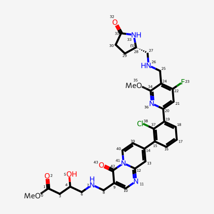 COC(=O)CC(O)CNCc1cnc2cc(-c3cccc(-c4cc(F)c(CNC[C@@H]5CCC(=O)N5)c(OC)n4)c3Cl)ccn2c1=O